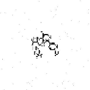 COc1ccc(-c2ncc(F)c(N[C@@H](C(=O)NCC(F)(F)F)C(C)C)n2)cn1